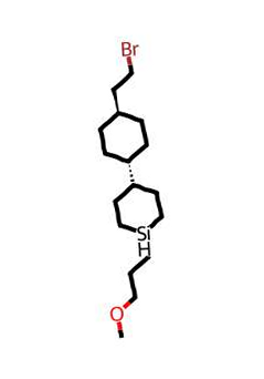 COCCC[SiH]1CCC([C@H]2CC[C@H](CCBr)CC2)CC1